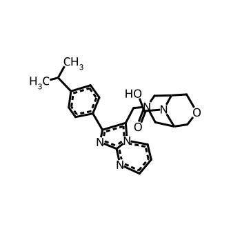 CC(C)c1ccc(-c2nc3ncccn3c2CN2CC3COCC(C2)N3C(=O)O)cc1